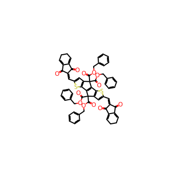 O=C1C(=Cc2cc3c(s2)C2=C(c4sc(C=C5C(=O)C6=CCCC=C6C5=O)cc4C2(C(=O)OCc2ccccc2)C(=O)OCc2ccccc2)C3(C(=O)OCc2ccccc2)C(=O)OCc2ccccc2)C(=O)C2=CCCC=C12